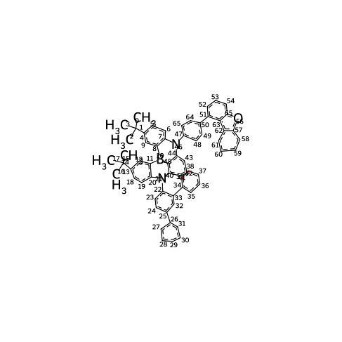 CC(C)(C)c1ccc2c(c1)B1c3cc(C(C)(C)C)ccc3N(c3ccc(-c4ccccc4)cc3-c3ccccc3)c3cccc(c31)N2c1ccc(-c2cccc3oc4ccccc4c23)cc1